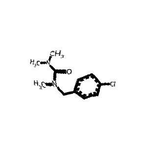 CN(C)C(=O)N(C)Cc1ccc(Cl)cc1